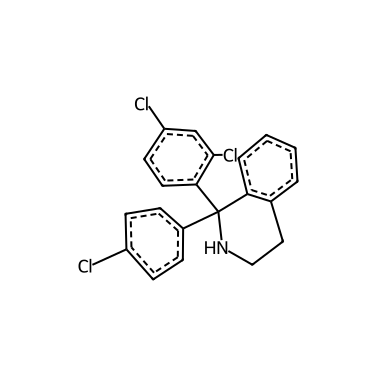 Clc1ccc(C2(c3ccc(Cl)cc3Cl)NCCc3ccccc32)cc1